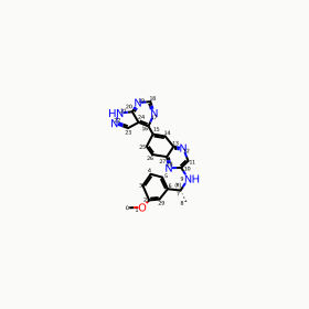 COc1cccc([C@@H](C)Nc2cnc3cc(-c4ncnc5[nH]ncc45)ccc3n2)c1